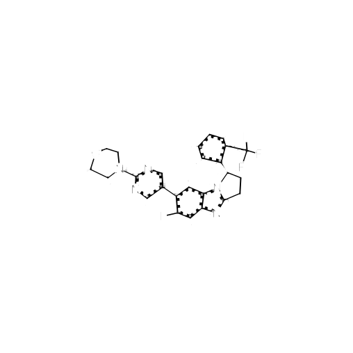 Fc1cc2nc3n(c2cc1-c1cnc(N2CCOCC2)nc1)[C@@H](c1ccccc1C(F)(F)F)CC3